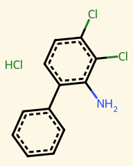 Cl.Nc1c(-c2ccccc2)ccc(Cl)c1Cl